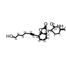 O=C1CCC(n2c(=O)oc3c(C#CCCCCO)cccc32)C(=O)N1